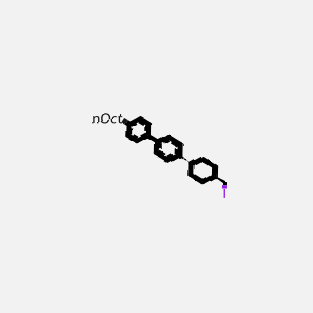 CCCCCCCCc1ccc(-c2ccc([C@H]3CC[C@H](CI)CC3)cc2)cc1